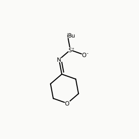 CCC(C)[S+]([O-])N=C1CCOCC1